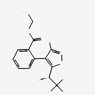 CCOC(=O)c1ccccc1-c1c(C)noc1[C@H](N)C(F)(F)F